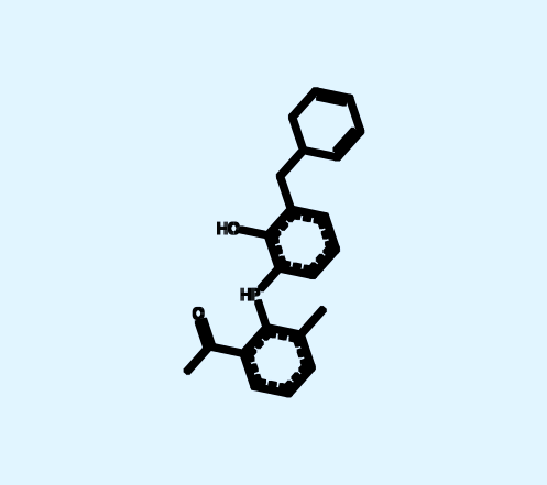 CC(=O)c1cccc(C)c1Pc1cccc(CC2C=CC=CC2)c1O